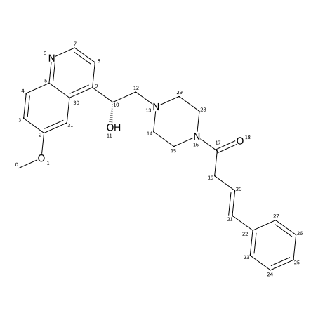 COc1ccc2nccc([C@@H](O)CN3CCN(C(=O)CC=Cc4ccccc4)CC3)c2c1